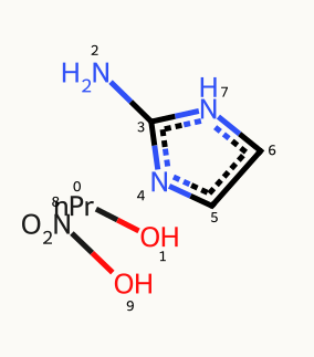 CCCO.Nc1ncc[nH]1.O=[N+]([O-])O